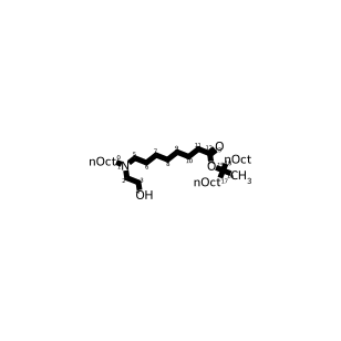 CCCCCCCCN(CCO)CCCCCCCC(=O)OC(C)(CCCCCCCC)CCCCCCCC